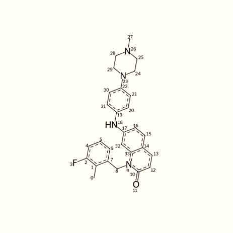 Cc1c(F)cccc1Cn1c(=O)ccc2ccc(Nc3ccc(N4CCN(C)CC4)cc3)cc21